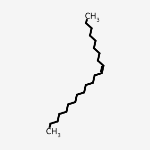 CCCCCCCC/C=C\CCCCCCCCCCCC